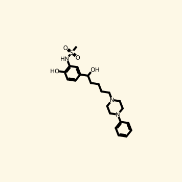 CS(=O)(=O)Nc1cc(C(O)CCCCN2CCN(c3ccccc3)CC2)ccc1O